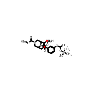 CC(Oc1cccc(C2=C(C(=O)O)C3CN(C(=O)OC(C)(C)C)CC(C2)N3C(=O)OC(C)(C)C)c1)O[Si](C)(C)C(C)(C)C